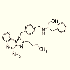 CCCCc1nc2c(N)nc3ccsc3c2n1Cc1ccc(CN[C@H](CO)Cc2ccccc2)cc1